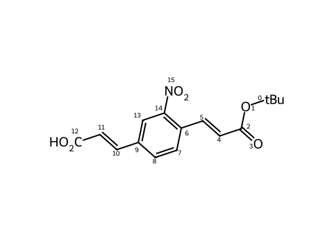 CC(C)(C)OC(=O)C=Cc1ccc(C=CC(=O)O)cc1[N+](=O)[O-]